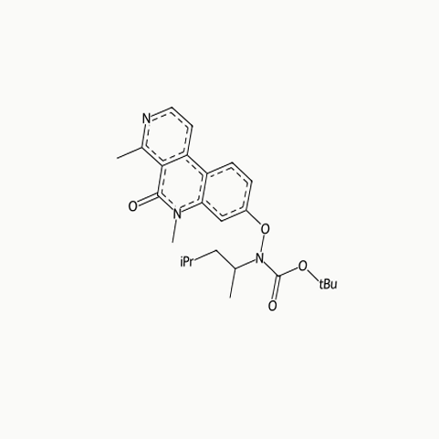 Cc1nccc2c1c(=O)n(C)c1cc(ON(C(=O)OC(C)(C)C)C(C)CC(C)C)ccc21